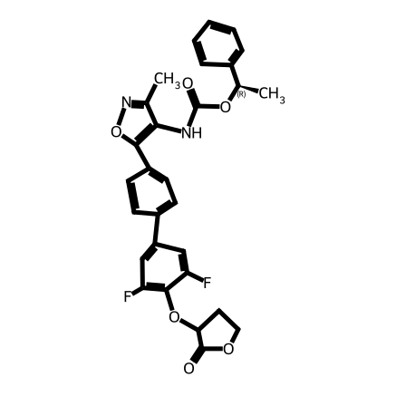 Cc1noc(-c2ccc(-c3cc(F)c(OC4CCOC4=O)c(F)c3)cc2)c1NC(=O)O[C@H](C)c1ccccc1